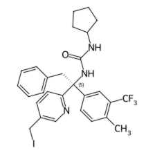 Cc1ccc([C@](Cc2ccccc2)(NC(=O)NC2CCCC2)c2ccc(CI)cn2)cc1C(F)(F)F